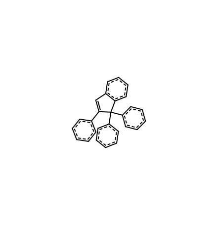 C1=C(c2ccccc2)C(c2ccccc2)(c2ccccc2)c2ccccc21